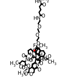 CC[C@@]1(OC(=O)C(CC(C)C)NC(=O)[C@@H]2CCCN2C(=O)[C@H](CC(=O)O)NC(=O)CCOCCOCCOCCNC(=O)CCCC(=O)NN)C(=O)OCc2c1cc1n(c2=O)Cc2c-1nc1cc(F)c(C)c3c1c2[C@@H](NC(C)=O)CC3